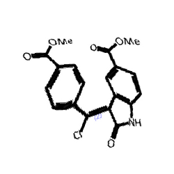 COC(=O)c1ccc(/C(Cl)=C2/C(=O)Nc3ccc(C(=O)OC)cc32)cc1